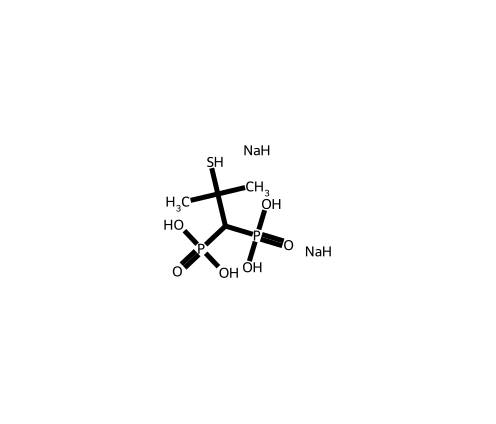 CC(C)(S)C(P(=O)(O)O)P(=O)(O)O.[NaH].[NaH]